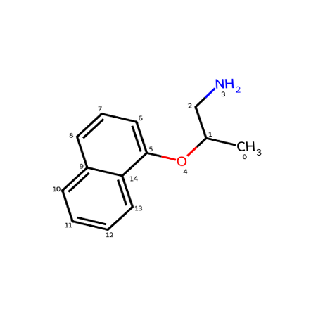 CC(CN)Oc1cccc2ccccc12